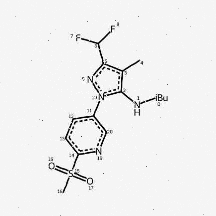 CCC(C)Nc1c(C)c(C(F)F)nn1-c1ccc(S(C)(=O)=O)nc1